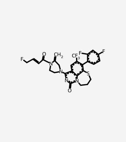 C=C1CN(c2nc(=O)n3c4c(c(-c5ccc(F)cc5F)c(C(F)(F)F)cc24)SCCC3)CCN1C(=O)/C=C/CF